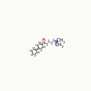 CN(C)CCCCC(=O)c1ccc(-c2ccccc2)cc1